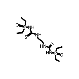 CCP(=O)(CC)NC(=S)NCCNC(=S)NP(=O)(CC)CC